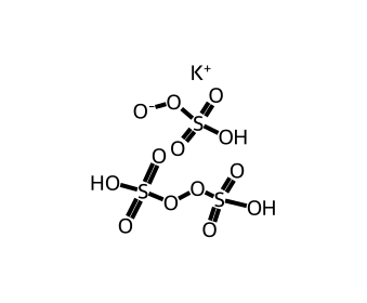 O=S(=O)(O)OOS(=O)(=O)O.O=S(=O)(O)O[O-].[K+]